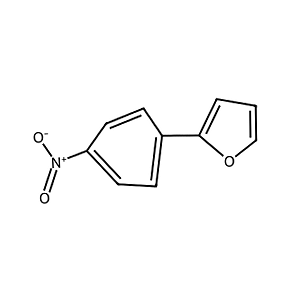 O=[N+]([O-])c1ccc(-c2ccco2)cc1